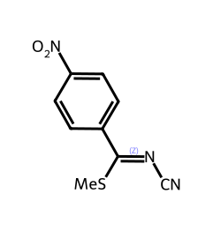 CS/C(=N\C#N)c1ccc([N+](=O)[O-])cc1